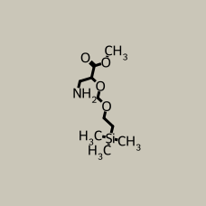 COC(=O)C(CN)OCOCC[Si](C)(C)C